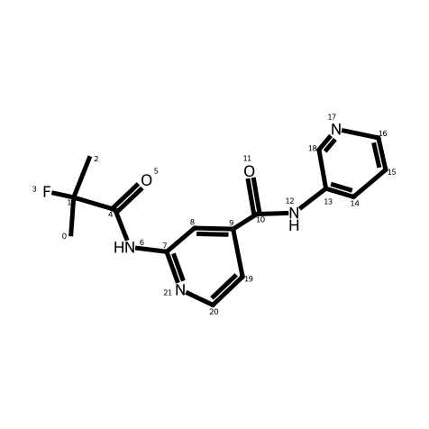 CC(C)(F)C(=O)Nc1cc(C(=O)Nc2cccnc2)ccn1